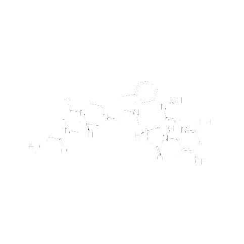 C=CC(=O)N1CC(=O)N2CCN(CCN3C[C@H]4CC(=O)N(c5cc(C(F)(F)F)cc(C)n5)[C@@H]4C(=O)N(C)c4cccc(F)c43)C[C@@H]2C1